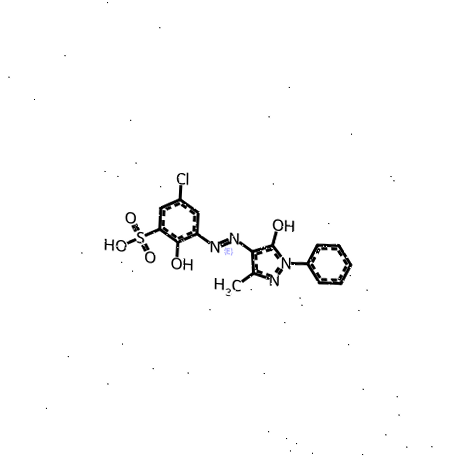 Cc1nn(-c2ccccc2)c(O)c1/N=N/c1cc(Cl)cc(S(=O)(=O)O)c1O